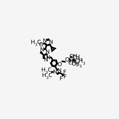 COc1ncnc(C2CC2)c1-c1ncc2cnn(Cc3ccc(-c4nc(C(F)(F)F)cn4C(C)C)c(OCCO[Si](C)(C)C(C)(C)C)c3)c2n1